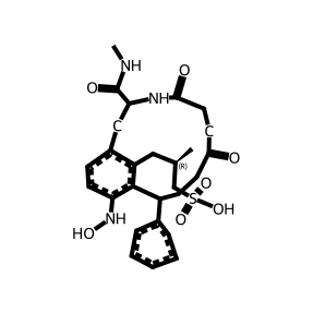 CNC(=O)C1Cc2ccc(NO)c(c2C[C@@H](C)CS(=O)(=O)O)C(c2ccccc2)CCC(=O)CCC(=O)N1